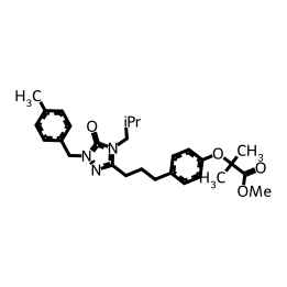 COC(=O)C(C)(C)Oc1ccc(CCCc2nn(Cc3ccc(C)cc3)c(=O)n2CC(C)C)cc1